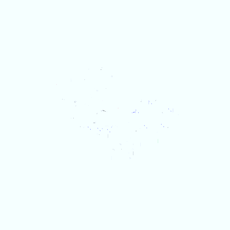 COc1ccc(C(OC[C@H]2O[C@@H](n3cnc4c(N)nc(Cl)nc43)[C@H](O[Si](C)(C)C(C)(C)C)[C@H]2N=[N+]=[N-])(c2ccccc2)c2ccccc2)cc1